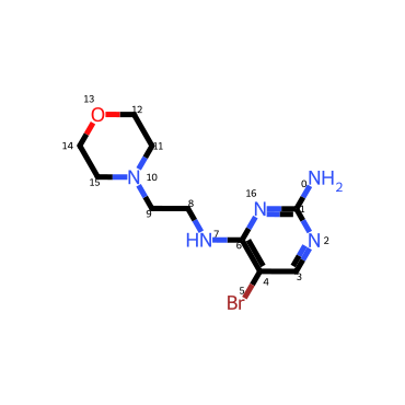 Nc1ncc(Br)c(NCCN2CCOCC2)n1